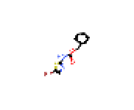 O=C(Nc1ncc(Br)s1)OCc1ccccc1